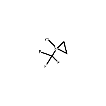 FC(F)(F)[Si]1(Cl)CC1